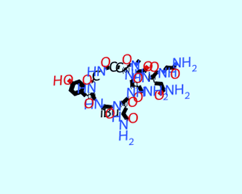 CCC(C)C1NC(=O)[C@H](Cc2ccc(O)cc2)NC(=O)CNC(=O)CC[C@@H](C(=O)N(C)CC(=O)N[C@@H](CCC(N)=O)C(=O)NCC(N)=O)NC(=O)[C@H](CC(N)=O)NC(=O)[C@H](CCC(N)=O)NC1=O